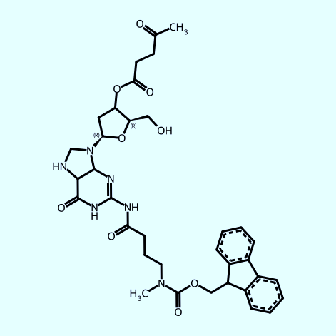 CC(=O)CCC(=O)OC1C[C@H](N2CNC3C(=O)NC(NC(=O)CCCN(C)C(=O)OCC4c5ccccc5-c5ccccc54)=NC32)O[C@@H]1CO